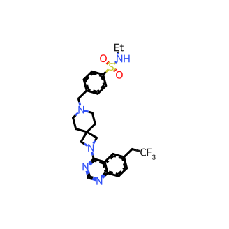 CCNS(=O)(=O)c1ccc(CN2CCC3(CC2)CN(c2ncnc4ccc(CC(F)(F)F)cc24)C3)cc1